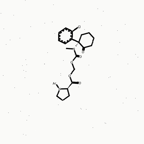 CC(=O)N1CCC[C@@H]1C(=O)OCOC(=O)N(C)[C@]1(c2ccccc2Cl)CCCCC1=O